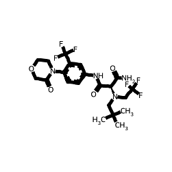 CC(C)(C)CN(CC(F)(F)F)[C@H](C(N)=O)C(=O)Nc1ccc(N2CCOCC2=O)c(C(F)(F)F)c1